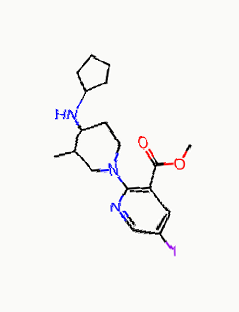 COC(=O)c1cc(I)cnc1N1CCC(NC2CCCC2)C(C)C1